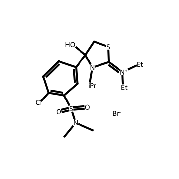 CC[N+](CC)=C1SCC(O)(c2ccc(Cl)c(S(=O)(=O)N(C)C)c2)N1C(C)C.[Br-]